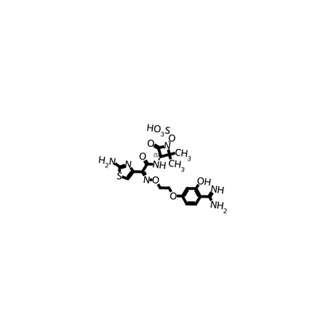 CC1(C)[C@H](NC(=O)C(=NOCCOc2ccc(C(=N)N)c(O)c2)c2csc(N)n2)C(=O)N1OS(=O)(=O)O